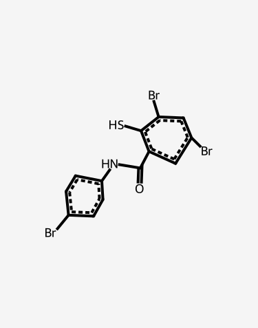 O=C(Nc1ccc(Br)cc1)c1cc(Br)cc(Br)c1S